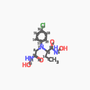 CC[C@H](C(=O)NO)N(CC(=O)NO)c1ccc(Cl)cc1